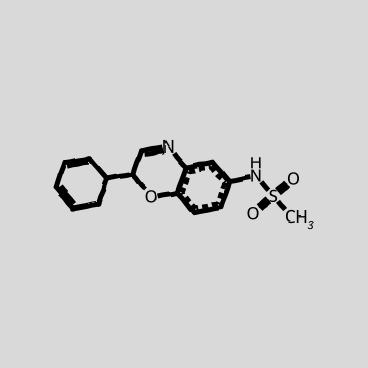 CS(=O)(=O)Nc1ccc2c(c1)N=CC(C1C=CC=CC1)O2